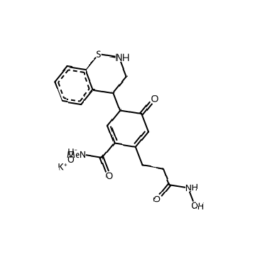 CNC(=O)C1=CC(C2CNSc3ccccc32)C(=O)C=C1CCC(=O)NO.[K+].[OH-]